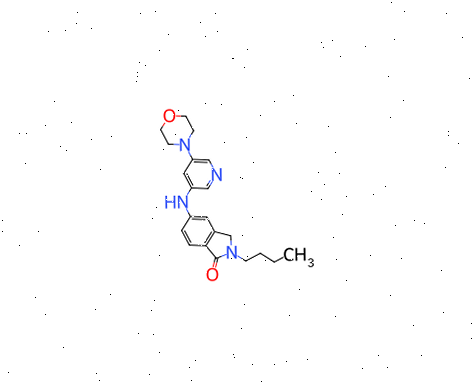 CCCCN1Cc2cc(Nc3cncc(N4CCOCC4)c3)ccc2C1=O